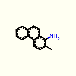 Cc1ccc2c(ccc3ccccc32)c1N